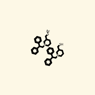 CC(=O)SCC1CCCN(CC(c2ccccc2)c2ccccc2)C1.SCC1CCCN(CC(c2ccccc2)c2ccccc2)C1